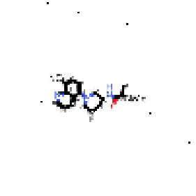 CNC(C)C(=O)N[C@@H]1C[C@H](C)CN(c2ccc(C#N)c3ncccc23)C1